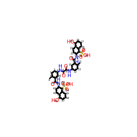 Cc1ccc(NC(=O)C(=O)Nc2ccc(C)c(C(=O)Nc3ccc4c(O)cccc4c3S(=O)(=O)O)c2)cc1C(=O)Nc1ccc2c(O)cccc2c1S(=O)(=O)O